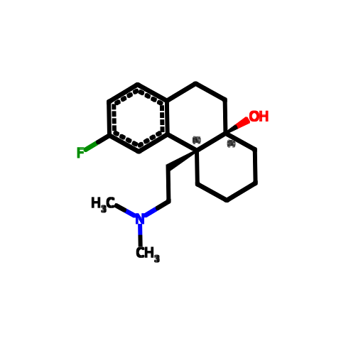 CN(C)CC[C@]12CCCC[C@@]1(O)CCc1ccc(F)cc12